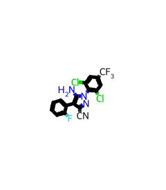 N#Cc1nn(-c2c(Cl)cc(C(F)(F)F)cc2Cl)c(N)c1-c1ccccc1F